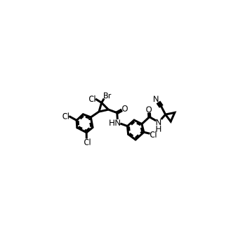 N#CC1(NC(=O)c2cc(NC(=O)C3C(c4cc(Cl)cc(Cl)c4)C3(Cl)Br)ccc2Cl)CC1